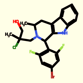 CC1Cc2c([nH]c3ccccc23)C(c2c(F)cc(Br)cc2F)N1CC(C)(Cl)CO